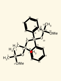 CO[Si](C)(C)O[Si](C)(C)O[Si](O[Si](C)(C)OC)(c1ccccc1)c1ccccc1